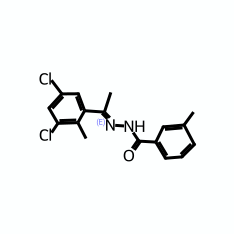 C/C(=N\NC(=O)c1cccc(C)c1)c1cc(Cl)cc(Cl)c1C